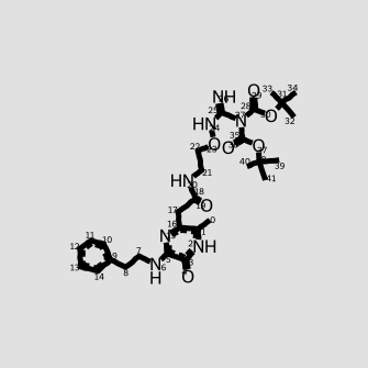 Cc1[nH]c(=O)c(NCCc2ccccc2)nc1CC(=O)NCCONC(=N)N(C(=O)OC(C)(C)C)C(=O)OC(C)(C)C